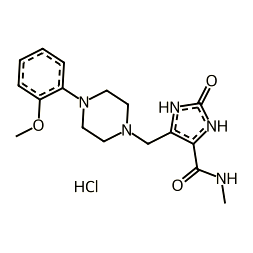 CNC(=O)c1[nH]c(=O)[nH]c1CN1CCN(c2ccccc2OC)CC1.Cl